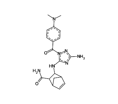 CN(C)c1ccc(C(=O)n2nc(N)nc2NC2C3C=CC(C3)C2C(N)=O)cc1